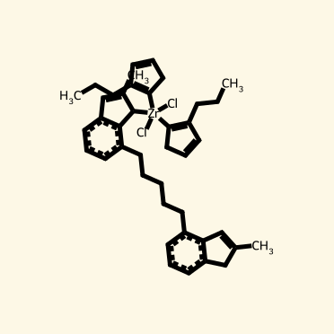 CCCC1=[C]([Zr]([Cl])([Cl])([C]2=C(CCC)C=CC2)[CH]2C(C)=Cc3cccc(CCCCCc4cccc5c4C=C(C)C5)c32)CC=C1